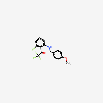 COc1ccc(CNc2cccc(F)c2C(=O)C(F)(F)F)cc1